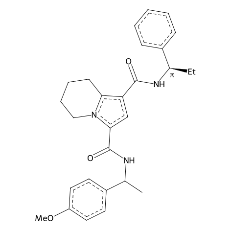 CC[C@@H](NC(=O)c1cc(C(=O)NC(C)c2ccc(OC)cc2)n2c1CCCC2)c1ccccc1